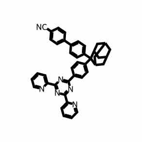 N#Cc1ccc(-c2ccc(C3(c4ccc(-c5nc(-c6ccccn6)nc(-c6ccccn6)n5)cc4)C4CC5CC(C4)CC3C5)cc2)cc1